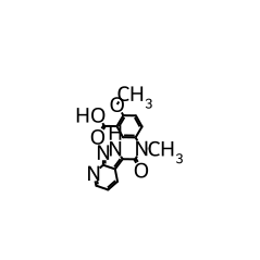 COc1ccc(N(C)C(=O)c2[nH]nc3ncccc23)cc1C(=O)O